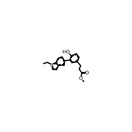 CCn1ccc2cc(-c3cc(CCC(=O)OC)ccc3O)ccc21